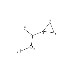 CC(OI)C1CC1